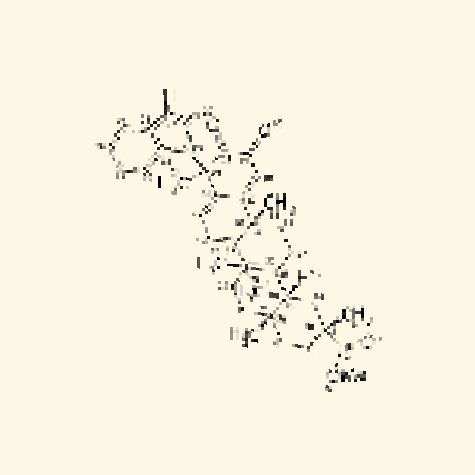 COC(=O)[C@]1(C)CC[C@]2(C)CC[C@]3(C)C4=CC=C5C(=CC(=O)C(=O)C5(C)c5c[nH]c6ccccc56)[C@]4(C)CC[C@@]3(C)[C@@H]2C1